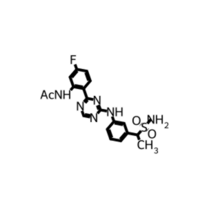 CC(=O)Nc1cc(F)ccc1-c1ncnc(Nc2cccc(C(C)S(N)(=O)=O)c2)n1